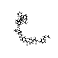 COc1cccc(CCNC(=O)N2CCC(Nc3ccc(CCNC[C@H](O)COc4ccc(O[Si](c5ccccc5)(c5ccccc5)C(C)(C)C)cc4)cc3)CC2)c1